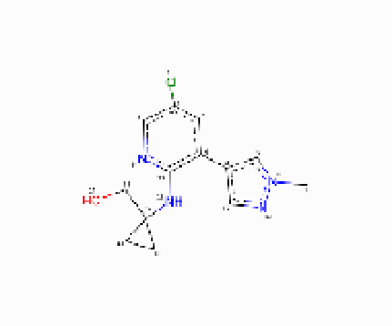 Cn1cc(-c2cc(Cl)cnc2NC2(CO)CC2)cn1